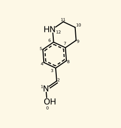 ON=Cc1ccc2c(c1)CCCN2